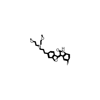 COCCN(CCCc1ccc2c(c1)COC2=C1C(=O)Nc2ccc(F)cc21)CCOC